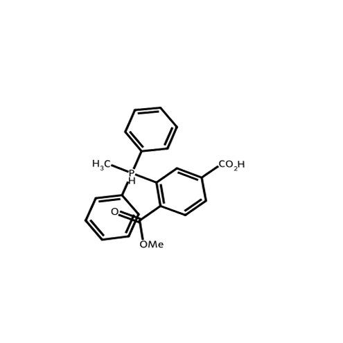 COC(=O)c1ccc(C(=O)O)cc1[PH](C)(c1ccccc1)c1ccccc1